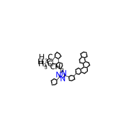 CC1(C)c2ccccc2-c2ccc(-c3nc(-c4ccccc4)nc(-c4cccc(-c5ccc6c(ccc7ccc8c9ccccc9ccc8c76)c5)c4)n3)cc2C1(C)C